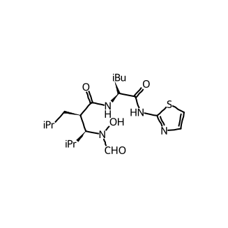 CC[C@H](C)[C@H](NC(=O)[C@H](CC(C)C)[C@H](C(C)C)N(O)C=O)C(=O)Nc1nccs1